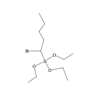 CCCCC(Br)[Si](OCC)(OCC)OCC